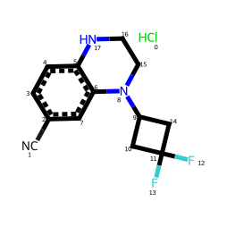 Cl.N#Cc1ccc2c(c1)N(C1CC(F)(F)C1)CCN2